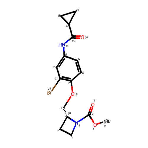 CC(C)(C)OC(=O)N1CC[C@@H]1COc1ccc(NC(=O)C2CC2)cc1Br